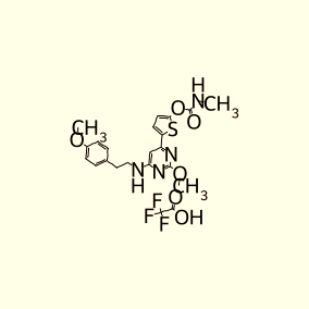 CNC(=O)Oc1ccc(-c2cc(NCCc3ccc(OC)cc3)nc(OC)n2)s1.O=C(O)C(F)(F)F